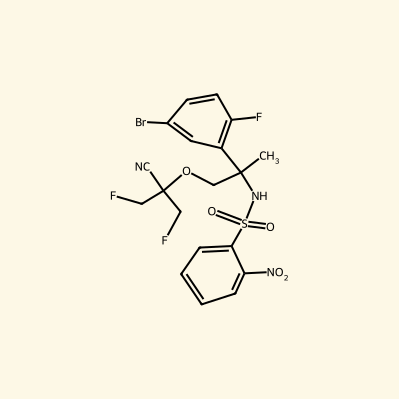 CC(COC(C#N)(CF)CF)(NS(=O)(=O)c1ccccc1[N+](=O)[O-])c1cc(Br)ccc1F